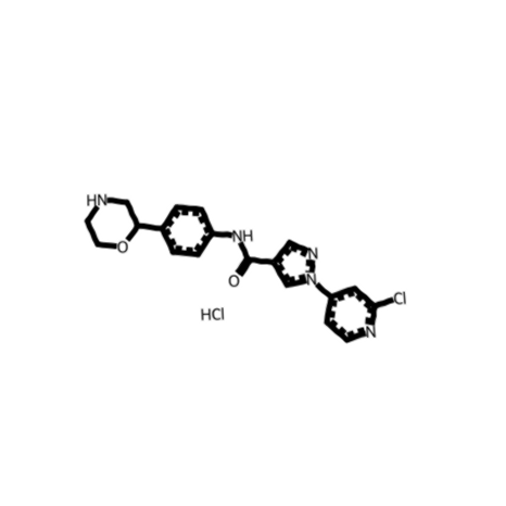 Cl.O=C(Nc1ccc(C2CNCCO2)cc1)c1cnn(-c2ccnc(Cl)c2)c1